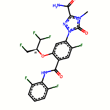 Cn1c(C(N)=O)nn(-c2cc(O[C@@H](CF)C(F)F)c(C(=O)Nc3c(F)cccc3F)cc2F)c1=O